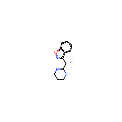 Cl.c1ccc2c(CC3=NCCCN3)noc2c1